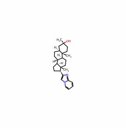 C[C@@]1(O)CC[C@@]2(C)[C@@H](CC[C@@H]3[C@@H]2CC[C@]2(C)[C@@H](c4cn5ccccc5n4)CC[C@@H]32)C1